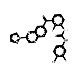 O=C(Nc1ccc(Cl)c(F)c1)Nc1cccc(C(=O)c2ccc3ncc(-n4cccn4)nc3c2)c1F